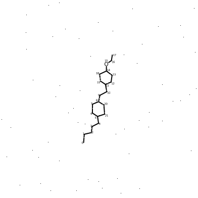 CCCCCC1CCC(CCC2CCC(OCC)CC2)CC1